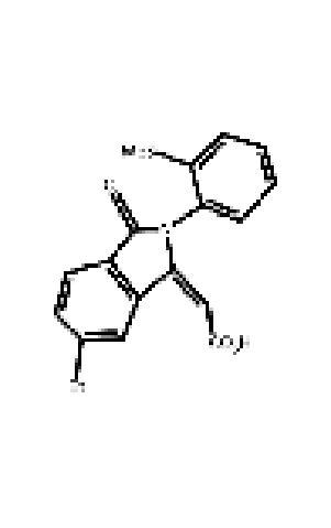 CCc1ccc2c(c1)/C(=C\C(=O)O)N(c1ccccc1SC)C2=O